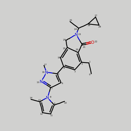 CCc1cc(-c2cc(-n3c(C)ccc3C)nn2C)cc2c1C(=O)N(C(C)C1CC1)C2